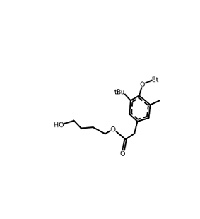 CCOc1c(C)cc(CC(=O)OCCCCO)cc1C(C)(C)C